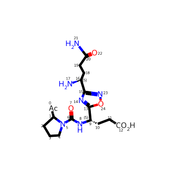 CC(=O)C1CCCN1C(=O)N[C@@H](CCC(=O)O)c1nc([C@@H](N)CCC(N)=O)no1